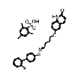 Cc1cc(C)c(S(=O)(=O)O)c(C)c1.O=c1ccc2cc(OCCCC=NSc3ccc(-c4ccccc4F)cc3)ccc2[nH]1